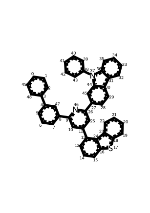 c1ccc(-c2cccc(-c3cc(-c4cccc5sc6ccccc6c45)cc(-c4ccc5c6ccccc6n(-c6ccccc6)c5c4)n3)c2)cc1